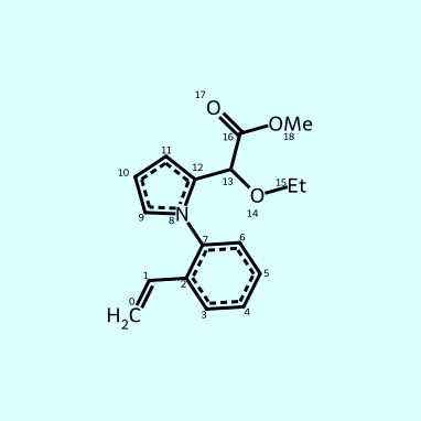 C=Cc1ccccc1-n1cccc1C(OCC)C(=O)OC